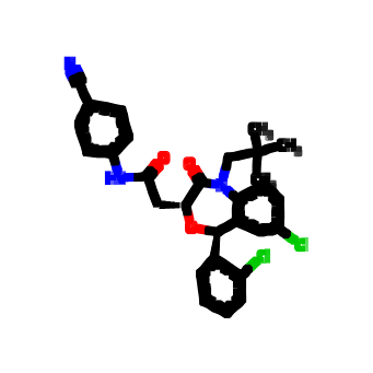 CC(C)(C)CN1C(=O)[C@@H](CC(=O)Nc2ccc(C#N)cc2)O[C@H](c2ccccc2Cl)c2cc(Cl)ccc21